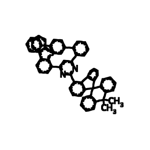 CC1(C)c2ccccc2C2(c3ccccc3-c3c(-c4nc(-c5ccccc5-c5ccc(-c6ccccc6)cc5)cc(-c5cccc6c5sc5ccccc56)n4)cccc32)c2ccccc21